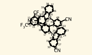 N#Cc1ccc(-c2cc(-c3cc(C(F)(F)F)cc(C(F)(F)F)c3)ccc2-n2c3ccccc3c3cc(C#N)ccc32)c(-n2c3ccccc3c3cc(C#N)ccc32)c1